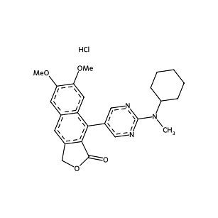 COc1cc2cc3c(c(-c4cnc(N(C)C5CCCCC5)nc4)c2cc1OC)C(=O)OC3.Cl